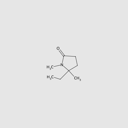 CCC1(C)CCC(=O)N1C